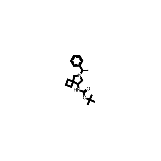 C[C@H](c1ccccc1)N1CC(NC(=O)OC(C)(C)C)C2(CCC2)C1